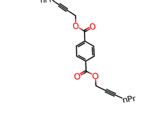 CCCC#CCOC(=O)c1ccc(C(=O)OCC#CCCC)cc1